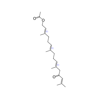 CC(=O)OC/C=C(\C)CC/C=C(\C)CC/C=C(\C)CC(=O)C=C(C)C